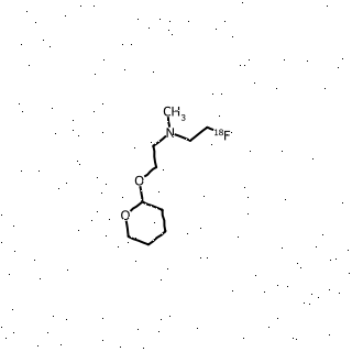 CN(CC[18F])CCOC1CCCCO1